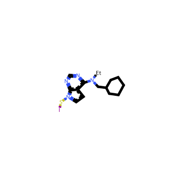 CCN(CC1CCCCC1)c1ncnc2c1ccn2SI